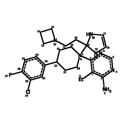 CCc1c(N)ncnc1[N+]1(C2(CCN3CCC3)NC=CN2)CCC(c2ccc(F)c(Cl)c2)CC1